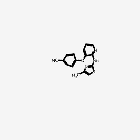 Cc1csc(Nc2ncccc2Oc2ccc(C#N)cc2)n1